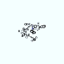 C/C(=C\C(=N/N(C=O)CCCCNC(=O)C(C)NC(=O)C(NC(=O)CCCCCN1C(=O)C=CC1=O)C(C)C)c1ccc(NC(=O)N2Cc3ccncc3C2)cc1)c1cccc2ncccc12